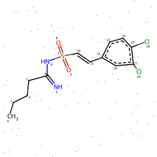 CCCCC(=N)NS(=O)(=O)C=Cc1ccc(Cl)c(Cl)c1